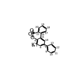 O=P1([O-])Oc2ccc(-c3ccccc3)cc2-c2ccccc21.[K+]